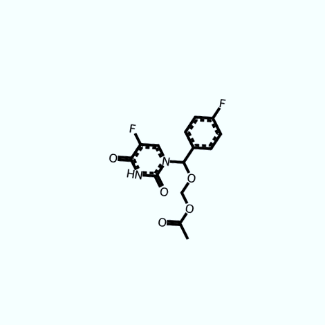 CC(=O)OCOC(c1ccc(F)cc1)n1cc(F)c(=O)[nH]c1=O